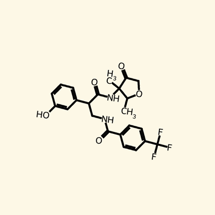 CC1OCC(=O)C1(C)NC(=O)C(CNC(=O)c1ccc(C(F)(F)F)cc1)c1cccc(O)c1